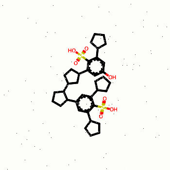 O=S(=O)(O)c1c(C2CCCC2)cc(C2CCCC2C2CCC(c3cc(O)cc(C4CCCC4)c3S(=O)(=O)O)C2)cc1C1CCCC1